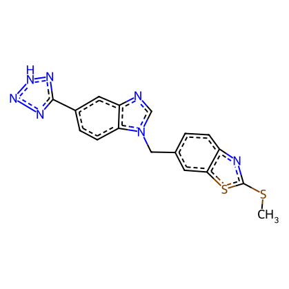 CSc1nc2ccc(Cn3cnc4cc(-c5nn[nH]n5)ccc43)cc2s1